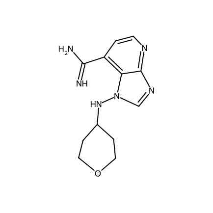 N=C(N)c1ccnc2ncn(NC3CCOCC3)c12